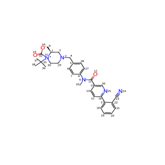 C[C@H]1CN(Cc2ccc(N(C)C(=O)c3ccc(-c4ccccc4C#N)nc3)cc2)CC[N+]1(C(=O)[O-])C(C)(C)C